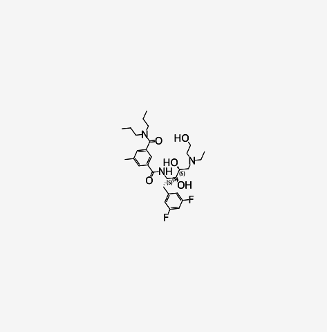 CCCN(CCC)C(=O)c1cc(C)cc(C(=O)N[C@@H](Cc2cc(F)cc(F)c2)[C@H](O)[C@@H](O)CN(CC)CCO)c1